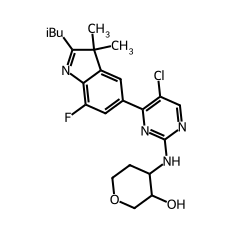 CCC(C)C1=Nc2c(F)cc(-c3nc(NC4CCOCC4O)ncc3Cl)cc2C1(C)C